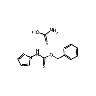 NC(O)=S.S=C(Nn1cccc1)OCc1ccccc1